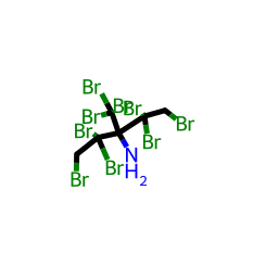 NC(C(Br)(Br)Br)(C(Br)(Br)CBr)C(Br)(Br)CBr